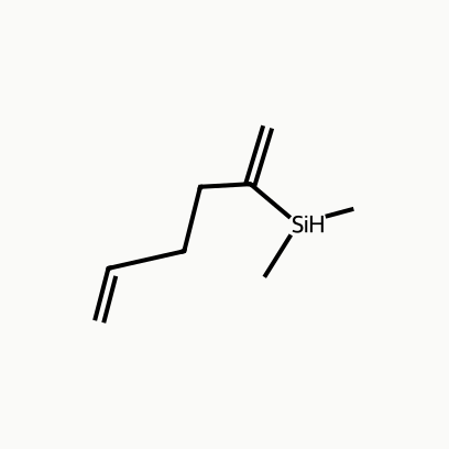 C=CCCC(=C)[SiH](C)C